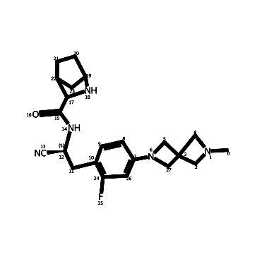 CN1CC2(C1)CN(c1ccc(C[C@@H](C#N)NC(=O)C3NC4CCC3C4)c(F)c1)C2